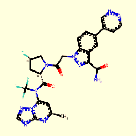 Cc1cc(N(C(=O)[C@@H]2C[C@@H](F)CN2C(=O)Cn2nc(C(N)=O)c3cc(-c4ccnnc4)ccc32)C(F)(F)F)n2ncnc2n1